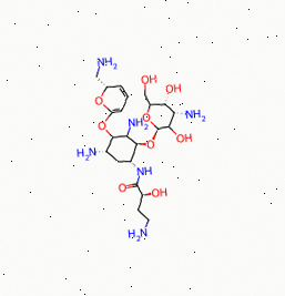 NCC[C@H](O)C(=O)N[C@@H]1C[C@H](N)C(OC2=CC=C[C@@H](CN)O2)C(N)[C@H]1O[C@H]1OC(CO)[C@H](O)[C@H](N)C1O